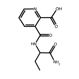 CCC(NC(=O)c1cccnc1C(=O)O)C(N)=O